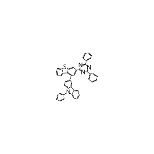 c1ccc(-c2nc(-c3ccccc3)nc(-c3cc(-c4ccc5c(c4)c4ccccc4n5-c4ccccc4)c4c(c3)sc3ccccc34)n2)cc1